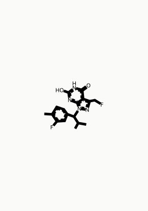 Cc1ccc(C(C(C)C)n2nc(CF)c3c(=O)[nH]c(O)nc32)cc1F